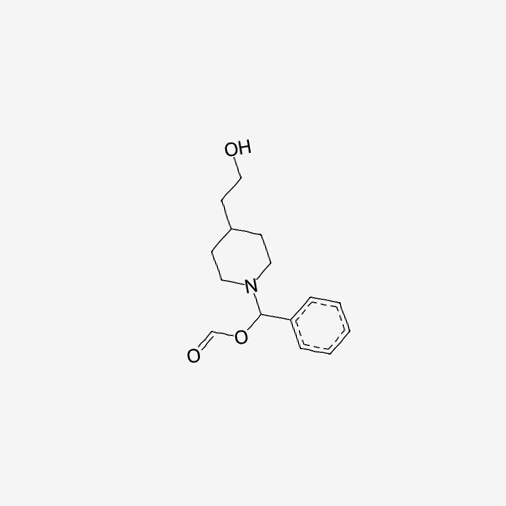 O=COC(c1ccccc1)N1CCC(CCO)CC1